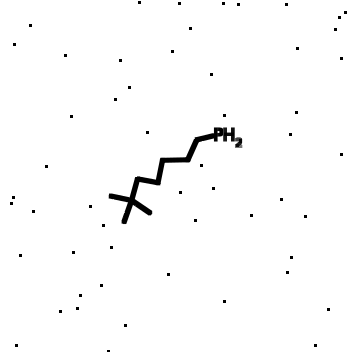 CC(C)(C)CCCCCP